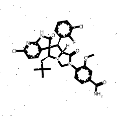 COc1cc(C(N)=O)ccc1N1CN2[C@@H](CC(C)(C)C)C3(C(=O)Nc4nc(Cl)ccc43)[C@@H](c3cccc(Cl)c3F)[C@@H]2C1=O